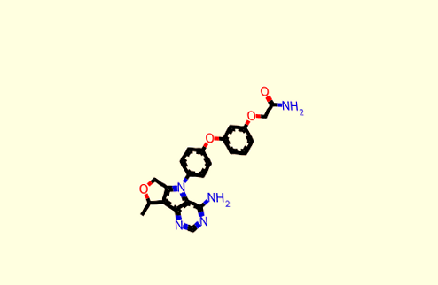 CC1OCc2c1c1ncnc(N)c1n2-c1ccc(Oc2cccc(OCC(N)=O)c2)cc1